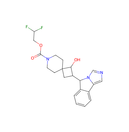 O=C(OCC(F)F)N1CCC2(CC1)CC(C1c3ccccc3-c3cncn31)C2O